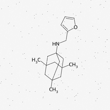 CC12CC3(C)CC(C)(C1)CC(NCc1ccco1)(C2)C3